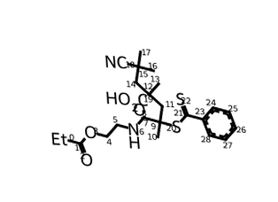 CCC(=O)OCCNC(=O)C(C)(CC(C)(CC(C)(C)C#N)C(=O)O)SC(=S)c1ccccc1